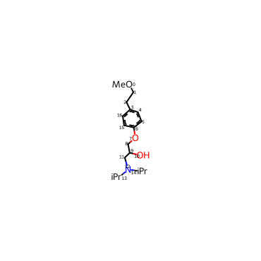 COCCc1ccc(OCC(O)CN(C(C)C)C(C)C)cc1